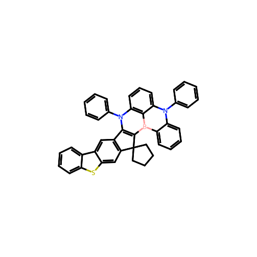 c1ccc(N2C3=C(B4c5ccccc5N(c5ccccc5)c5cccc2c54)C2(CCCC2)c2cc4sc5ccccc5c4cc23)cc1